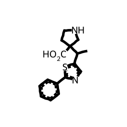 CC(c1cnc(-c2ccccc2)s1)C1(C(=O)O)CCNC1